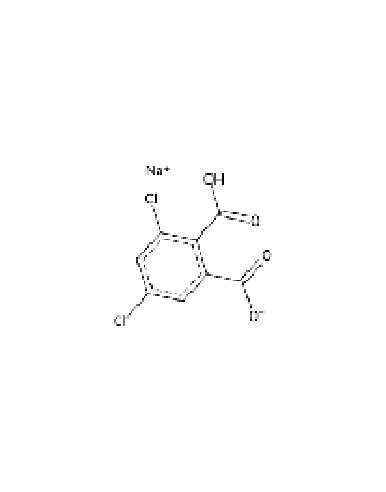 O=C([O-])c1cc(Cl)cc(Cl)c1C(=O)O.[Na+]